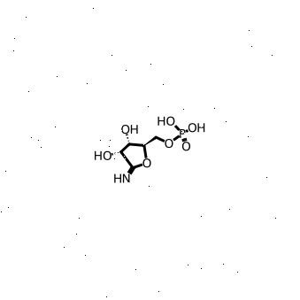 N=C1O[C@H](COP(=O)(O)O)[C@@H](O)[C@H]1O